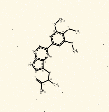 COc1cc(-c2cnc3[nH]cc(CC(C)C(C)=O)c3n2)cc(OC)c1OC